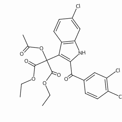 CCOC(=O)C(OC(C)=O)(C(=O)OCC)c1c(C(=O)c2ccc(Cl)c(Cl)c2)[nH]c2cc(Cl)ccc12